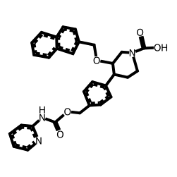 O=C(Nc1ccccn1)OCc1ccc(C2CCN(C(=O)O)CC2OCc2ccc3ccccc3c2)cc1